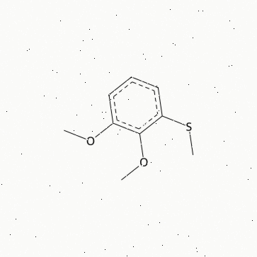 COc1cccc(SC)c1OC